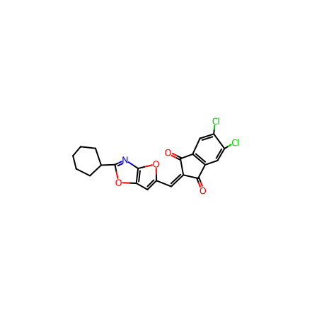 O=C1C(=Cc2cc3oc(C4CCCCC4)nc3o2)C(=O)c2cc(Cl)c(Cl)cc21